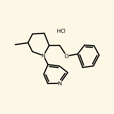 CC1CCC(COc2ccccc2)N(c2ccncc2)C1.Cl